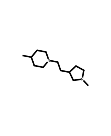 CC1CCN(CCC2CCN(C)C2)CC1